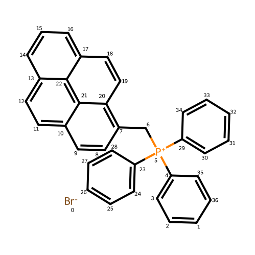 [Br-].c1ccc([P+](Cc2ccc3ccc4cccc5ccc2c3c45)(c2ccccc2)c2ccccc2)cc1